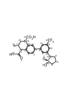 CCCC(=O)N1c2ccc(-c3cc(N4CCCS4(=O)=O)cc(C(F)(F)F)c3)cc2N(C(=O)O)C[C@@H]1C